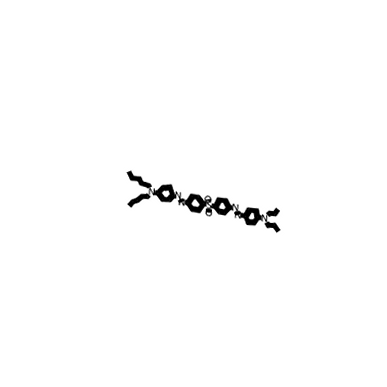 CCCCCN(CCCCC)c1ccc(N=Nc2ccc(S(=O)(=O)c3ccc(N=Nc4ccc(N(CCC)CCC)cc4)cc3)cc2)cc1